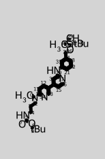 CN(CCCNC(=O)OC(C)(C)C)c1ccc(-c2ccnc(Nc3cccc(CO[Si](C)(C)C(C)(C)C)c3)c2)cn1